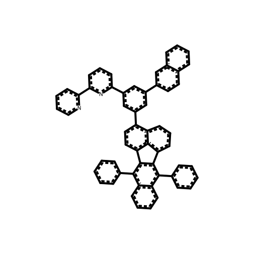 c1ccc(-c2c3c(c(-c4ccccc4)c4ccccc24)-c2ccc(-c4cc(-c5ccc6ccccc6c5)cc(-c5cccc(-c6ccccn6)n5)c4)c4cccc-3c24)cc1